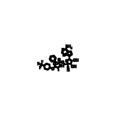 C[C@H](N[P@@](=O)(OC[C@@]1(C#N)O[C@@H](c2ccc3c(N)ncnn23)[C@H](O)[C@@H]1O)Oc1ccccc1)C(=O)OC1CCC(C(F)(F)F)CC1